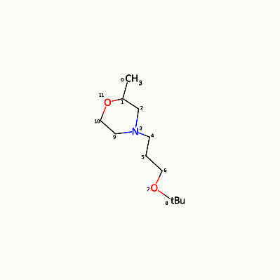 CC1CN(CCCOC(C)(C)C)CCO1